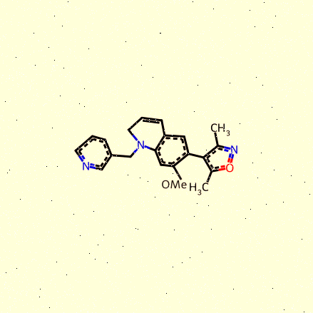 COc1cc2c(cc1-c1c(C)noc1C)C=CCN2Cc1cccnc1